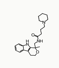 CC1(CNC(=O)CCCN2CCCCC2)OCCc2c1[nH]c1ccccc21